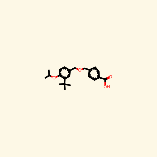 CC(C)Oc1ccc(COCc2ccc(C(=O)O)cc2)cc1C(C)(C)C